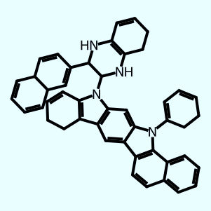 C1=CCCC(n2c3cc4c(cc3c3ccc5ccccc5c32)c2c(n4C3NC4=C(C=CCC4)NC3C3=CC4C=CC=CC4C=C3)C=CCC2)=C1